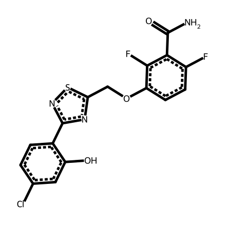 NC(=O)c1c(F)ccc(OCc2nc(-c3ccc(Cl)cc3O)ns2)c1F